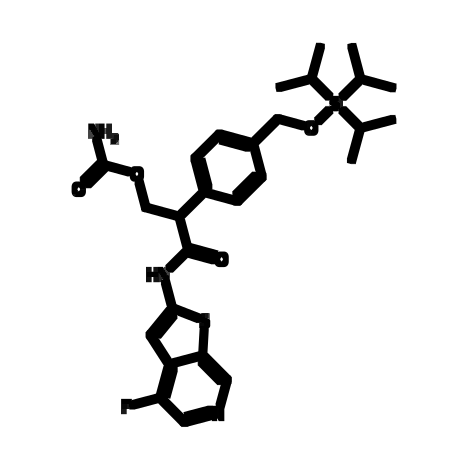 CC(C)[Si](OCc1ccc(C(COC(N)=O)C(=O)Nc2cc3c(F)cncc3s2)cc1)(C(C)C)C(C)C